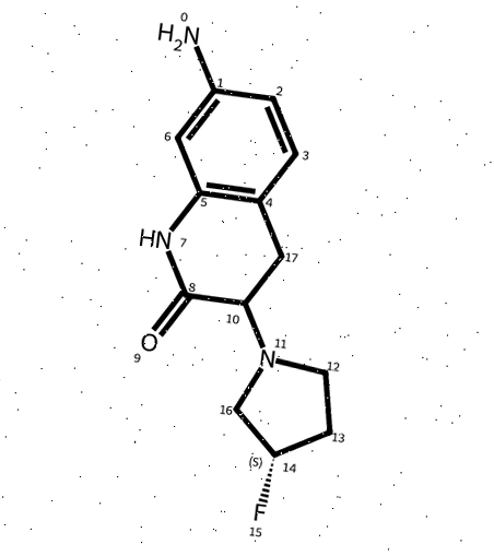 Nc1ccc2c(c1)NC(=O)C(N1CC[C@H](F)C1)C2